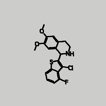 COc1cc2c(cc1OC)C(c1sc3cccc(F)c3c1Cl)NCC2